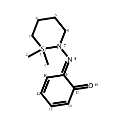 C[Si]1(C)CCCCN1N=C1C=CC=CC1=O